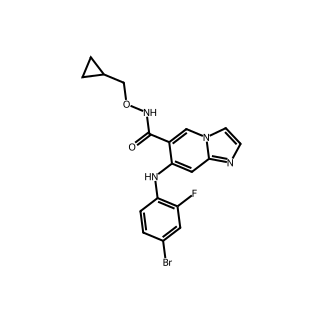 O=C(NOCC1CC1)c1cn2ccnc2cc1Nc1ccc(Br)cc1F